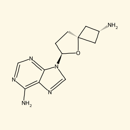 Nc1ncnc2c1ncn2[C@H]1CC[C@]2(C[C@@H](N)C2)O1